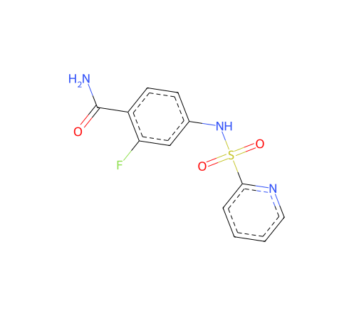 NC(=O)c1ccc(NS(=O)(=O)c2ccccn2)cc1F